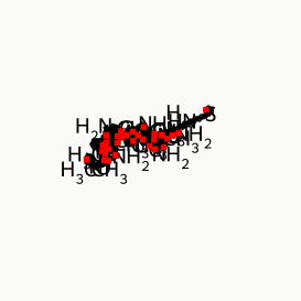 C[C@@H](c1ccccc1)N(C)CC(=O)N(CCCCN)CC(=O)N(CC(=O)N(CCCCN)CC(=O)N(CC(=O)N(CC(=O)N(CCCCN)CC(=O)N(CC(=O)N(CCCCN)CC(=O)N(CC(=O)N(CC(=O)N[C@@H](CCCCNCCCCCC1CCCS1)C(N)=O)[C@@H](C)c1ccccc1)[C@@H](C)c1ccccc1)[C@@H](C)c1ccccc1)[C@@H](C)c1ccccc1)[C@@H](C)c1ccccc1)[C@@H](C)c1ccccc1